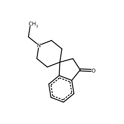 CCN1CCC2(CC1)CC(=O)c1ccccc12